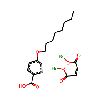 CCCCCCCCOc1ccc(C(=O)O)cc1.O=C(/C=C\C(=O)OBr)OBr